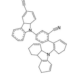 N#CC1=CC2c3ccccc3N(c3ccc(C4=C(N5C6=C(CCC=C6)C6CCC=CC65)CCC=C4)c(C#N)c3)C2C=C1